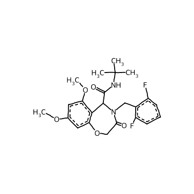 COc1cc(OC)c2c(c1)OCC(=O)N(Cc1c(F)cccc1F)C2C(=O)NC(C)(C)C